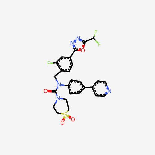 O=C(N1CCS(=O)(=O)CC1)N(Cc1ccc(-c2nnc(C(F)F)o2)cc1F)c1ccc(-c2ccncc2)cc1